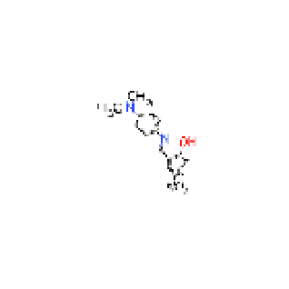 CN(C)c1ccc(/N=C/c2cc([N+](=O)[O-])ccc2O)cc1